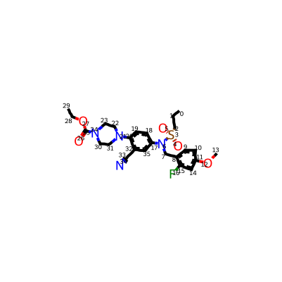 CCCS(=O)(=O)N(Cc1ccc(OC)cc1F)c1ccc(N2CCN(C(=O)OCC)CC2)c(C#N)c1